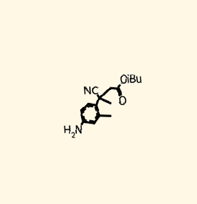 Cc1cc(N)ccc1C(C)(C#N)CC(=O)OCC(C)C